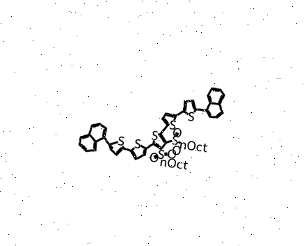 CCCCCCCCS(=O)(=O)c1c(-c2ccc(-c3ccc(-c4cccc5ccccc45)s3)s2)sc(-c2ccc(-c3ccc(-c4cccc5ccccc45)s3)s2)c1S(=O)(=O)CCCCCCCC